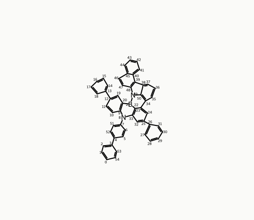 c1ccc(-c2ccc(N3c4ccc(-c5ccccc5)cc4B4c5c(cc(-c6ccccc6)cc53)-c3cccc5c6c7ccccc7ccc6n4c35)cc2)cc1